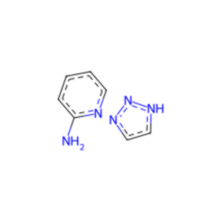 Nc1ccccn1.c1c[nH]nn1